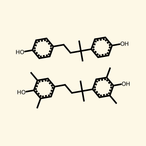 CC(C)(CCc1ccc(O)cc1)c1ccc(O)cc1.Cc1cc(CCC(C)(C)c2cc(C)c(O)c(C)c2)cc(C)c1O